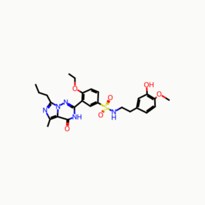 CCCc1nc(C)c2c(=O)[nH]c(-c3cc(S(=O)(=O)NCCc4ccc(OC)c(O)c4)ccc3OCC)nn12